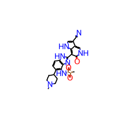 CN1CCC(c2ccc3[nH]c(-c4c(=O)[nH]cc5c(C#N)c[nH]c45)nc3c2NS(C)(=O)=O)CC1